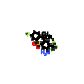 CC1(C)c2ccc(F)cc2S(=O)(=O)c2cc(N)c(C(F)(F)F)cc21